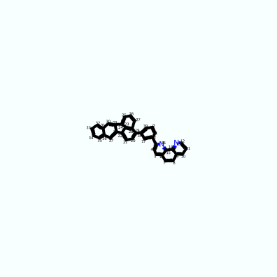 c1cc(-c2ccc3ccc4cccnc4c3n2)cc(-c2ccc3c4c(cccc24)-c2cc4ccccc4cc2-3)c1